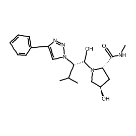 CNC(=O)[C@@H]1C[C@@H](O)CN1C(O)[C@H](C(C)C)n1cc(-c2ccccc2)nn1